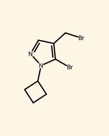 BrCc1cnn(C2CCC2)c1Br